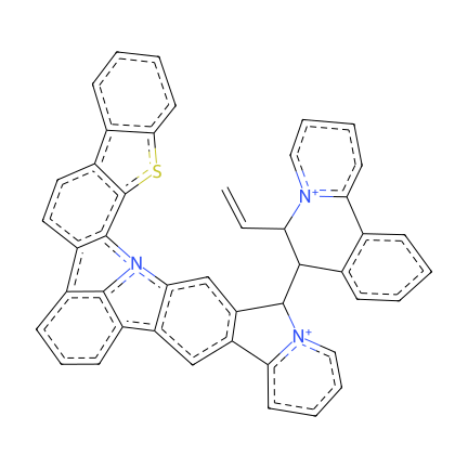 C=CC1C(C2c3cc4c(cc3-c3cccc[n+]32)c2cccc3c5ccc6c7ccccc7sc6c5n4c23)c2ccccc2-c2cccc[n+]21